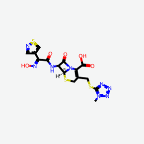 Cn1nnnc1SCC1=C(C(=O)O)N2C(=O)C(NC(=O)C(=NO)c3cnsc3)[C@@H]2SC1